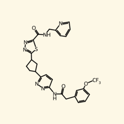 O=C(Cc1cccc(OC(F)(F)F)c1)Nc1ccc(C2CCC(c3nnc(C(=O)NCc4ccccn4)s3)C2)nn1